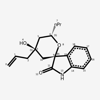 C=CC[C@]1(O)C[C@H](CCC)O[C@@]2(C1)C(=O)Nc1ccccc12